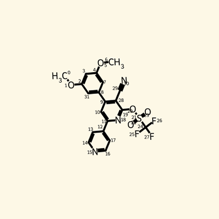 COc1cc(OC)cc(-c2cc(-c3ccncc3)nc(OS(=O)(=O)C(F)(F)F)c2C#N)c1